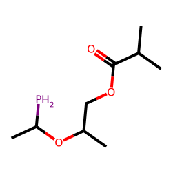 CC(P)OC(C)COC(=O)C(C)C